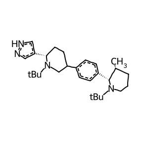 C[C@@H]1CCCN(C(C)(C)C)[C@@H]1c1ccc(C2CC[C@@H](c3cn[nH]c3)N(C(C)(C)C)C2)cc1